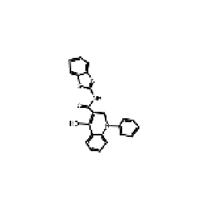 O=C(Nc1nc2ccccc2s1)C1=C(O)c2ccccc2N(c2ccccc2)C1